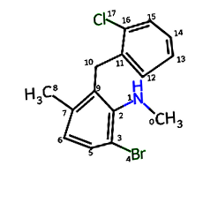 CNc1c(Br)ccc(C)c1Cc1ccccc1Cl